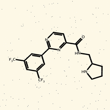 O=C(NCC1CCCN1)c1ccnc(-c2cc(C(F)(F)F)cc(C(F)(F)F)c2)n1